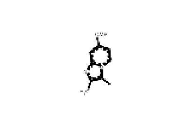 COc1ccn2c(I)c(C)nc2c1